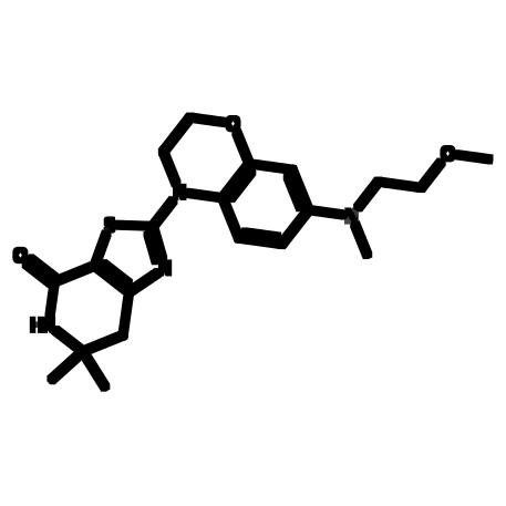 COCCN(C)c1ccc2c(c1)OCCN2c1nc2c(s1)C(=O)NC(C)(C)C2